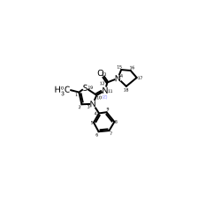 Cc1cn(-c2ccccc2)/c(=N/C(=O)N2CCCC2)s1